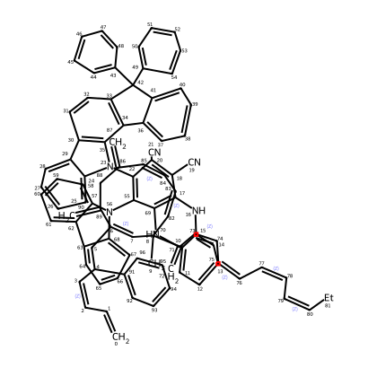 C=C/C=C\C(C/C1=C/C(C)(c2ccccc2Nc2c(C#N)c(C#N)c(-n3c4ccccc4c4ccc5c(c43)-c3ccccc3C5(c3ccccc3)c3ccccc3)c(-n3c4ccccc4c4ccccc43)c2NC(=C)\C=C/C=C\C=C/C=C\CC)/C=C\C=C/C(=C)CC1=C)c1ccccc1